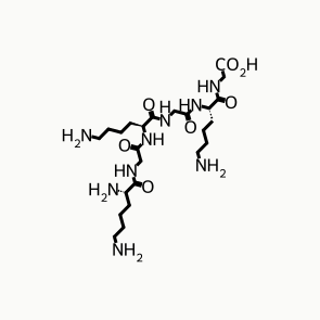 NCCCC[C@H](NC(=O)CNC(=O)[C@H](CCCCN)NC(=O)CNC(=O)[C@@H](N)CCCCN)C(=O)NCC(=O)O